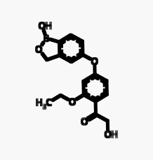 CCOc1cc(Oc2ccc3c(c2)COB3O)ccc1C(=O)CO